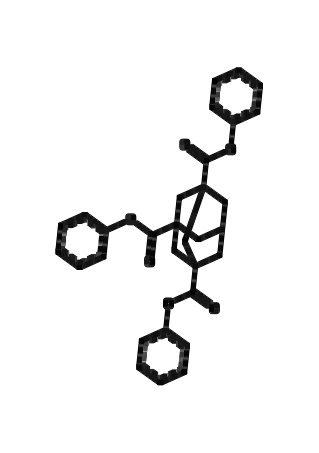 O=C(Oc1ccccc1)C12CC3CC(C(=O)Oc4ccccc4)(C1)CC(C(=O)Oc1ccccc1)(C3)C2